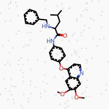 COc1cc2nccc(Oc3ccc(NC(=O)C(CC(C)C)NCc4ccccc4)cc3)c2cc1OC